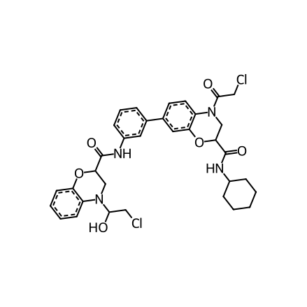 O=C(NC1CCCCC1)C1CN(C(=O)CCl)c2ccc(-c3cccc(NC(=O)C4CN(C(O)CCl)c5ccccc5O4)c3)cc2O1